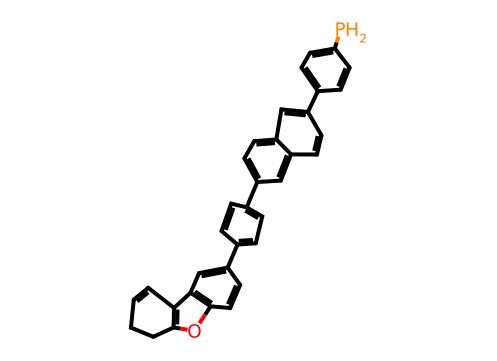 Pc1ccc(-c2ccc3cc(-c4ccc(-c5ccc6oc7c(c6c5)C=CCC7)cc4)ccc3c2)cc1